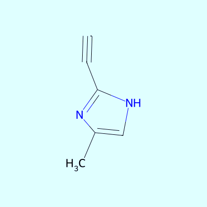 [C]#Cc1nc(C)c[nH]1